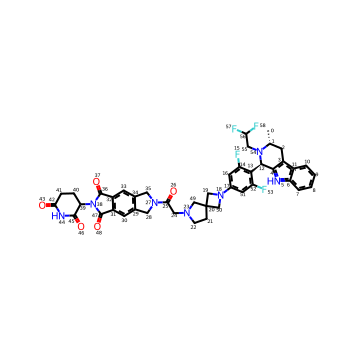 C[C@@H]1Cc2c([nH]c3ccccc23)[C@@H](c2c(F)cc(N3CC4(CCN(CC(=O)N5Cc6cc7c(cc6C5)C(=O)N(C5CCC(=O)NC5=O)C7=O)C4)C3)cc2F)N1CC(F)F